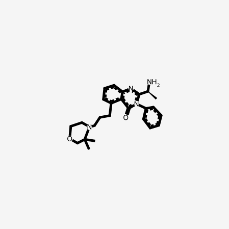 C[C@H](N)c1nc2cccc(CCCN3CCOCC3(C)C)c2c(=O)n1-c1ccccc1